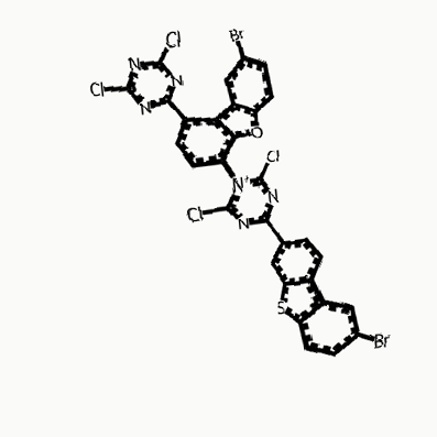 Clc1nc(Cl)nc(-c2ccc(-[n+]3c(Cl)nc(-c4ccc5c(c4)sc4ccc(Br)cc45)nc3Cl)c3oc4ccc(Br)cc4c23)n1